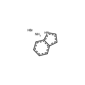 Br.N.c1ccc2[nH]ccc2c1